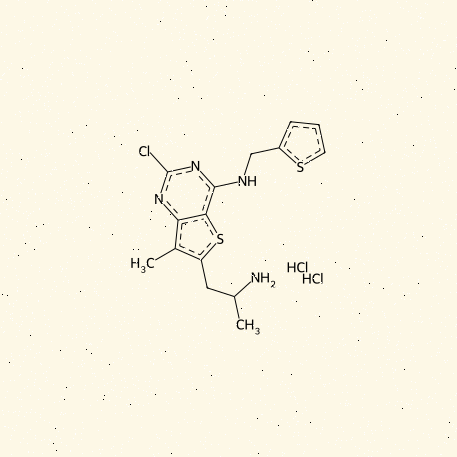 Cc1c(CC(C)N)sc2c(NCc3cccs3)nc(Cl)nc12.Cl.Cl